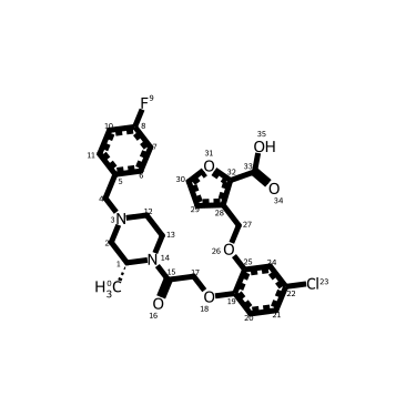 C[C@@H]1CN(Cc2ccc(F)cc2)CCN1C(=O)COc1ccc(Cl)cc1OCc1ccoc1C(=O)O